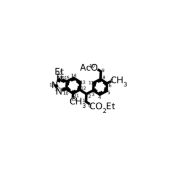 CCOC(=O)CC(c1ccc(C)c(COC(C)=O)c1)c1ccc2c(nnn2CC)c1C